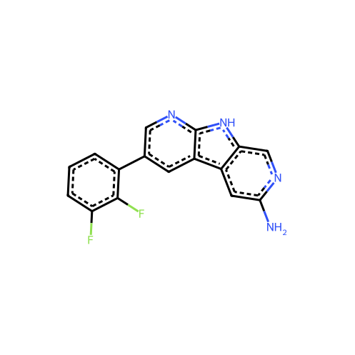 Nc1cc2c(cn1)[nH]c1ncc(-c3cccc(F)c3F)cc12